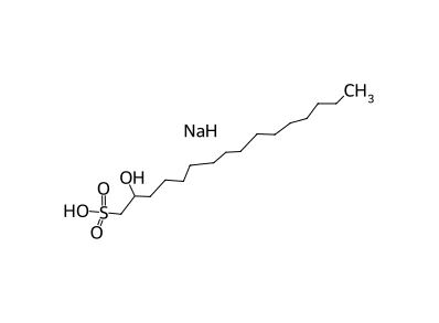 CCCCCCCCCCCCCCC(O)CS(=O)(=O)O.[NaH]